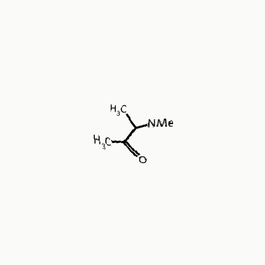 [CH2]NC(C)C(C)=O